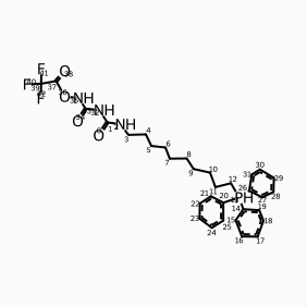 O=C(NCCCCCCCCCC[PH](c1ccccc1)(c1ccccc1)c1ccccc1)NC(=O)NOC(=O)C(F)(F)F